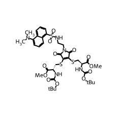 COC(=O)[C@H](CSC1=C(SC[C@H](NC(=O)OC(C)(C)C)C(=O)OC)C(=O)N(CCNS(=O)(=O)c2cccc3c(N(C)C)cccc23)C1=O)NC(=O)OC(C)(C)C